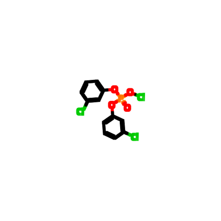 O=P(OCl)(Oc1cccc(Cl)c1)Oc1cccc(Cl)c1